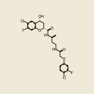 C=C(CCNC(=O)COc1ccc(Cl)c(F)c1)NC(=O)[C@H]1C[C@@H](O)c2cc(Cl)c(F)cc2O1